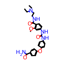 CCN(CC)CCNC(=O)c1ccc(NC(=O)Nc2ccc(Oc3ccc(C(N)=O)cc3)cc2)cc1OC